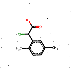 Cc1ccc(C)c(C(Cl)C(=O)O)c1